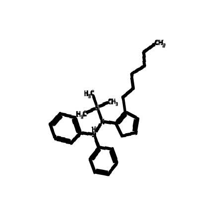 CCCCCCC1=C(N([SiH](c2ccccc2)c2ccccc2)[Si](C)(C)C)CC=C1